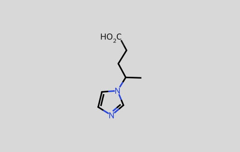 CC(CCC(=O)O)n1ccnc1